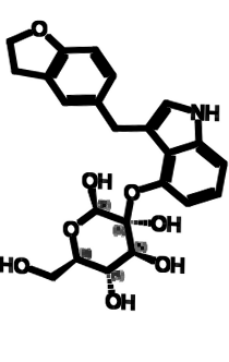 OC[C@H]1O[C@@H](O)[C@@](O)(Oc2cccc3[nH]cc(Cc4ccc5c(c4)CCO5)c23)[C@@H](O)[C@@H]1O